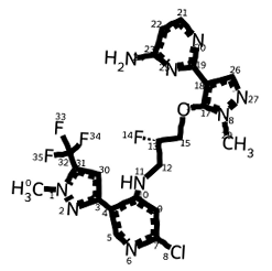 Cn1nc(-c2cnc(Cl)cc2NC[C@H](F)COc2c(-c3nccc(N)n3)cnn2C)cc1C(F)(F)F